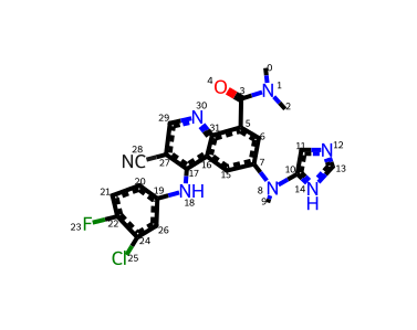 CN(C)C(=O)c1cc(N(C)c2cnc[nH]2)cc2c(Nc3ccc(F)c(Cl)c3)c(C#N)cnc12